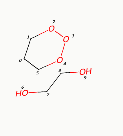 C1COOOC1.OCCO